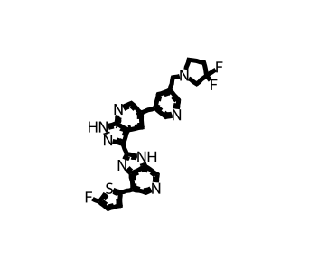 Fc1ccc(-c2cncc3[nH]c(-c4n[nH]c5ncc(-c6cncc(CN7CCC(F)(F)C7)c6)cc45)nc23)s1